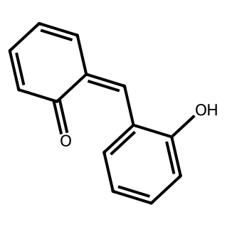 O=C1C=CC=CC1=Cc1ccccc1O